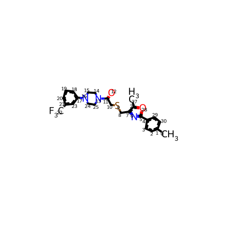 Cc1ccc(-c2nc(CSCC(=O)N3CCN(c4cccc(C(F)(F)F)c4)CC3)c(C)o2)cc1